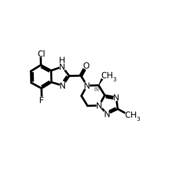 Cc1nc2n(n1)CCN(C(=O)c1nc3c(F)ccc(Cl)c3[nH]1)[C@H]2C